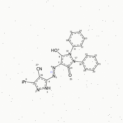 CC(C)c1n[nH]c(/N=N/c2c(O)n(-c3ccccc3)n(-c3ccccc3)c2=O)c1C#N